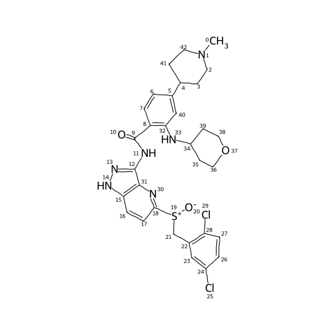 CN1CCC(c2ccc(C(=O)Nc3n[nH]c4ccc([S+]([O-])Cc5cc(Cl)ccc5Cl)nc34)c(NC3CCOCC3)c2)CC1